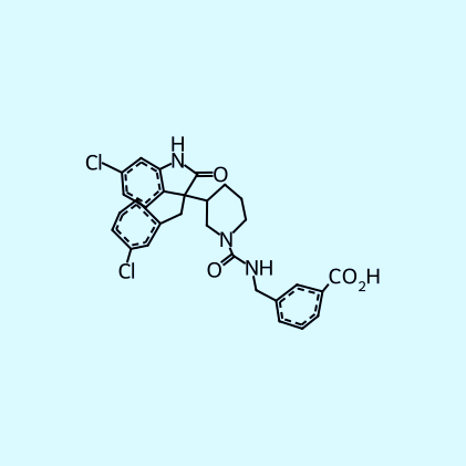 O=C(O)c1cccc(CNC(=O)N2CCCC(C3(Cc4cccc(Cl)c4)C(=O)Nc4cc(Cl)ccc43)C2)c1